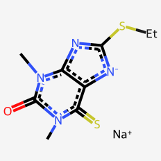 CCSc1nc2c([n-]1)c(=S)n(C)c(=O)n2C.[Na+]